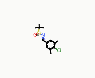 Cc1cc(/C=N/[S@+]([O-])C(C)(C)C)cc(C)c1Cl